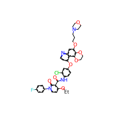 CCOc1ccn(-c2ccc(F)cc2)c(=O)c1C(=O)Nc1ccc(Oc2ccnc3cc(OCCCN4CCOCC4)c4c(c23)OCCO4)cc1Cl